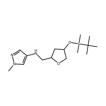 Cn1cc(NCC2CC(O[Si](C)(C)C(C)(C)C)CO2)cn1